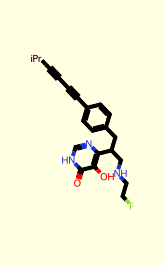 CC(C)C#CC#Cc1ccc(CC(CNCCF)c2nc[nH]c(=O)c2O)cc1